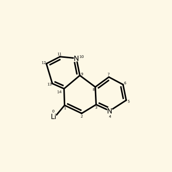 [Li][c]1cc2ncccc2c2ncccc12